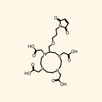 O=C(O)CN1CCN(CC(=O)O)CCN(CC(=O)O)C(COCCCN2C(=O)C=CC2=O)CN(CC(=O)O)CC1